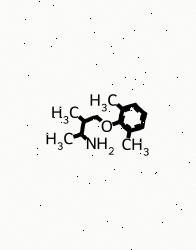 Cc1cccc(C)c1OCC(C)C(C)N